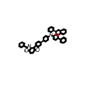 c1ccc(-c2ccc(N(c3ccc(-c4ccc5c(c4)oc4ccc6oc(-c7ccccc7)nc6c45)cc3)c3ccccc3-c3ccc4ccccc4c3)cc2)cc1